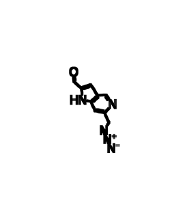 [N-]=[N+]=NCc1cc2[nH]c(C=O)cc2cn1